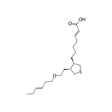 CCC=CCCOCC[C@@H]1CSC[C@@H]1CCCCC=CC(=O)O